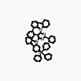 c1ccc(-c2nc(-n3c4ccccc4c4ccc([Si](c5ccccc5)(c5ccccc5)c5ccccc5)cc43)c3c(n2)-n2c4ccccc4c4cccc(c42)-c2ccccc2-3)cc1